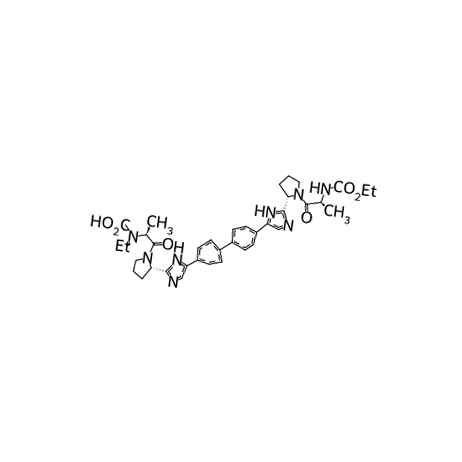 CCOC(=O)N[C@@H](C)C(=O)N1CCC[C@H]1c1ncc(-c2ccc(-c3ccc(-c4cnc([C@@H]5CCCN5C(=O)[C@H](C)N(CC)C(=O)O)[nH]4)cc3)cc2)[nH]1